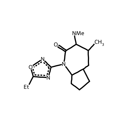 CCc1nc(N2C(=O)C(NC)C(C)CC3CCCC32)no1